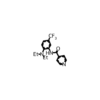 CCN(CC)c1ccc(C(F)(F)F)cc1NC(=O)c1ccncc1